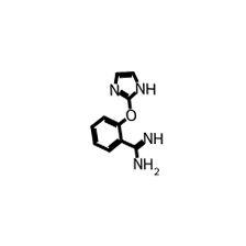 N=C(N)c1ccccc1Oc1ncc[nH]1